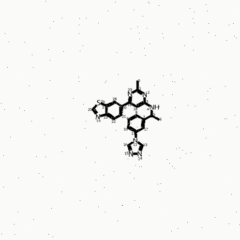 Cc1nc(NC(C)c2cccc(-n3cnnc3)c2)cc(-c2ccc3ncsc3c2)n1